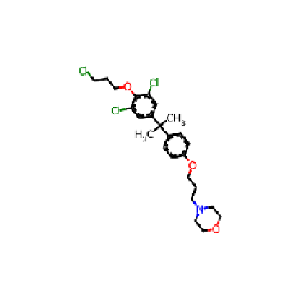 CC(C)(c1ccc(OCCCN2CCOCC2)cc1)c1cc(Cl)c(OCCCCl)c(Cl)c1